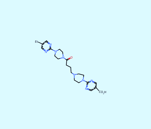 CCc1cnc(N2CCN(C(=O)CCCN3CCN(c4ncc(C(=O)O)cn4)CC3)CC2)nc1